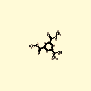 COC(=O)c1cc(C(=O)OC)cc(C(C)O)c1